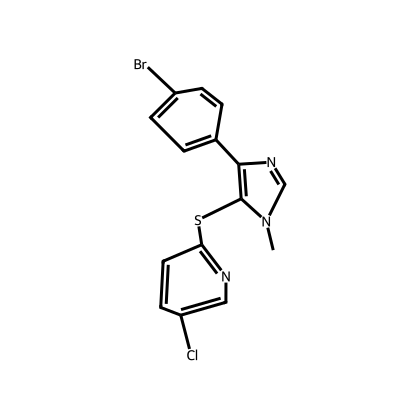 Cn1cnc(-c2ccc(Br)cc2)c1Sc1ccc(Cl)cn1